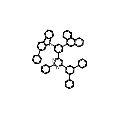 c1ccc(-c2cc(-c3ccccc3)cc(-c3cc(-c4cc(-c5cc6ccccc6c6ccccc56)cc(-n5c6ccccc6c6ccc(-c7ccccc7)cc65)c4)nc(-c4ccccc4)n3)c2)cc1